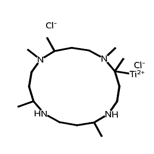 CC1CCNC(C)CCN(C)C(C)CCN(C)[C](C)([Ti+2])CCN1.[Cl-].[Cl-]